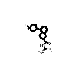 CC(C)NC(=O)c1ccc2c(C3=CCC(F)(F)CC3)cccc2c1